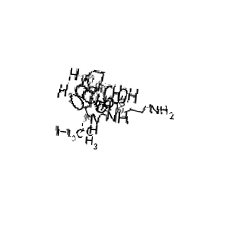 CC(C)C[C@@H](NC(=O)N[C@@H](CCCCN)C(=O)O)C(=O)NC1C[C@H]2CC[C@]1(C)C2(C)C